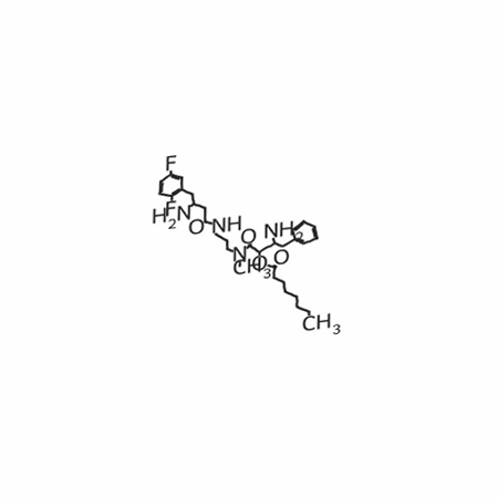 CCCCCCCC(=O)OC(C(=O)N(C)CCCNC(=O)CC(N)Cc1cc(F)ccc1F)C(N)Cc1ccccc1